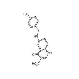 O=C(O)c1c[nH]c2ccc(NCc3ccc(C(F)(F)F)cc3)cc2c1=O